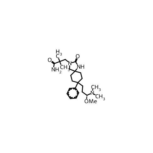 CO[C@@H](CCC1(c2ccccc2)CCC2(CC1)CN(CC(C)(C)C(N)=O)C(=O)N2)N(C)C